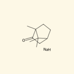 CC12CCC(CC1=O)C2(C)C.[NaH]